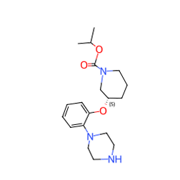 CC(C)OC(=O)N1CCC[C@H](Oc2ccccc2N2CCNCC2)C1